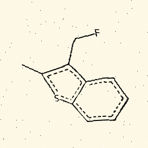 Cc1sc2ccccc2c1CF